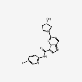 O=C(Nc1ccc(F)cn1)c1cnc2ccc(N3CC[C@H](O)C3)nn12